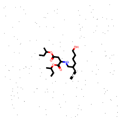 C=C=CC(CCCCO)CNC(CC(=O)OC(C)CC)C(=O)OC(C)CC